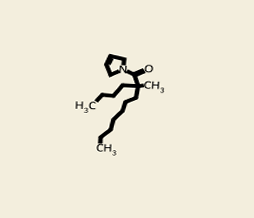 CCCCCCCC(C)(CCCC)C(=O)N1CC=CC1